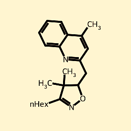 CCCCCCC1=NOC(Cc2cc(C)c3ccccc3n2)C1(C)C